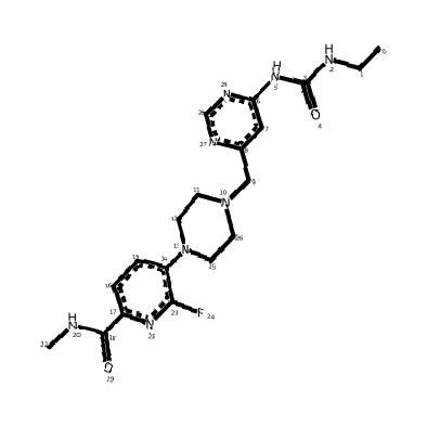 CCNC(=O)Nc1cc(CN2CCN(c3ccc(C(=O)NC)nc3F)CC2)ncn1